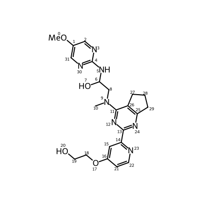 COc1cnc(NC(O)CN(C)c2nc(-c3cc(OCCO)ccn3)nc3c2CCC3)nc1